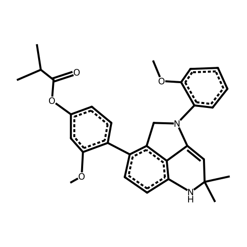 COc1cc(OC(=O)C(C)C)ccc1-c1ccc2c3c1CN(c1ccccc1OC)C3=CC(C)(C)N2